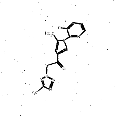 O=C(Cn1nnc(C(F)(F)F)n1)c1cc(C(=O)O)n(-c2ncccc2Cl)n1